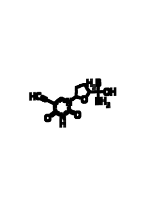 BC(B)(O)C1CCC(n2cc(C#C)c(=O)[nH]c2=O)O1